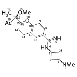 CN[C@H]1C[C@@H](NC(=N)c2ccc3c(c2)CC[C@H]([C@](C)(OC)C(C)=O)O3)C1